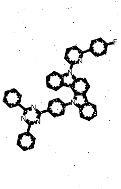 Fc1ccc(-c2cccc(-n3c4ccccc4c4c3ccc3c5ccccc5n(-c5ccc(-c6nc(-c7ccccc7)nc(-c7ccccc7)n6)cc5)c34)n2)cc1